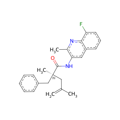 C=C(C)C[C@@](C)(Cc1ccccc1)C(=O)Nc1cc2cccc(F)c2nc1C